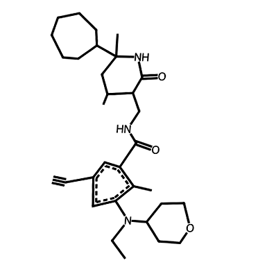 C#Cc1cc(C(=O)NCC2C(=O)NC(C)(C3CCCCCC3)CC2C)c(C)c(N(CC)C2CCOCC2)c1